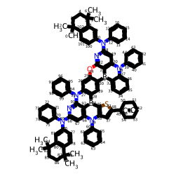 CC1(C)CCC(C)(C)c2cc(N(c3ccccc3)c3cc4c5c(n3)Oc3cc6c(cc3B5c3ccccc3N4c3ccccc3)B3c4sc(C57CCC(CC5)CC7)cc4N(c4ccccc4)c4cc(N(c5ccccc5)c5ccc7c(c5)C(C)(C)CCC7(C)C)nc(c43)N6c3ccccc3)ccc21